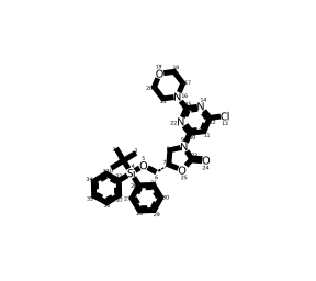 CC(C)(C)[Si](OC[C@@H]1CN(c2cc(Cl)nc(N3CCOCC3)n2)C(=O)O1)(c1ccccc1)c1ccccc1